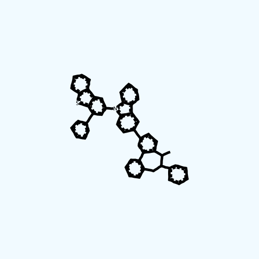 CC1c2ccc(-c3ccc4c(c3)c3ccccc3n4-c3cc(-c4ccccc4)c4sc5ccccc5c4c3)cc2-c2ccccc2CC1c1ccccc1